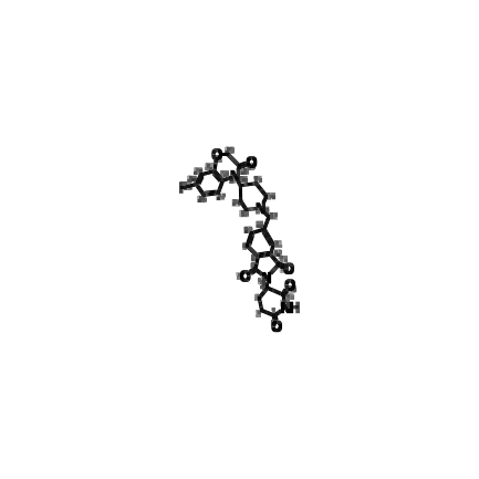 O=C1CCC(N2C(=O)c3ccc(CN4CCC(N5C(=O)COc6cc(F)ccc65)CC4)cc3C2=O)C(=O)N1